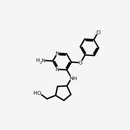 Nc1ncc(Oc2ccc(Cl)cc2)c(NC2CCC(CO)C2)n1